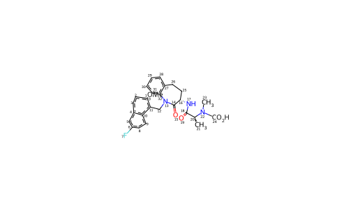 COc1ccc2cc(F)ccc2c1CN1C(=O)[C@@H](NC(=O)[C@H](C)N(C)C(=O)O)CCc2ccccc21